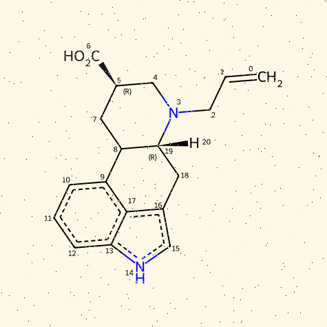 C=CCN1C[C@H](C(=O)O)CC2c3cccc4[nH]cc(c34)C[C@H]21